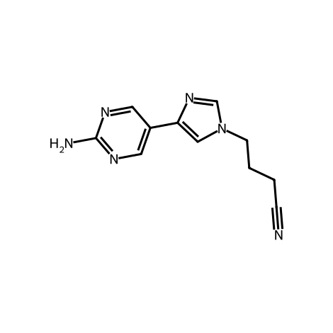 N#CCCCn1cnc(-c2cnc(N)nc2)c1